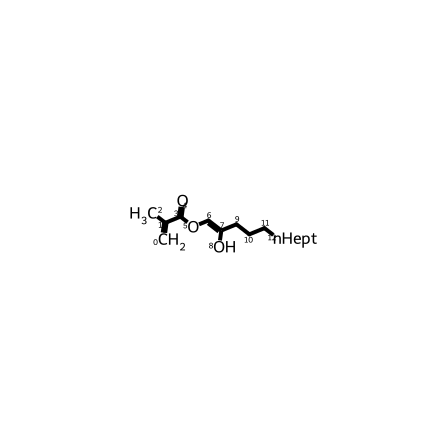 C=C(C)C(=O)O/C=C(\O)CCCCCCCCCC